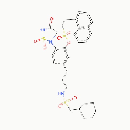 O=C1CN(c2ccc(CCCNS(=O)(=O)CC3CCCCC3)cc2OS(=O)(=O)CCc2cccc3ccccc23)S(=O)(=O)N1